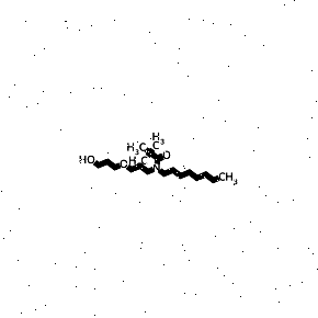 CCCCCCCCN(CCCOCCCO)C(=O)C(C)(C)C